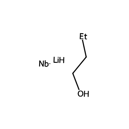 CCCCO.[LiH].[Nb]